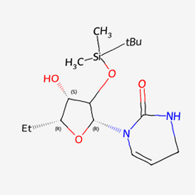 CC[C@H]1O[C@@H](N2C=CCNC2=O)C(O[Si](C)(C)C(C)(C)C)[C@H]1O